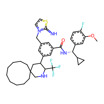 COc1cc([C@@H](NC(=O)c2cc(Cn3ccsc3=N)cc(C3CC4(CCCCCCCCC4)CNC3C(F)(F)F)c2)C2CC2)ccc1F